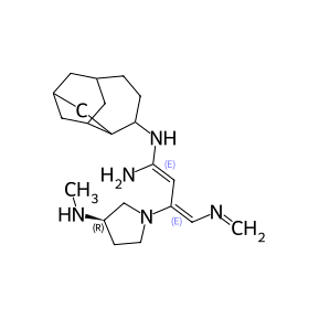 C=N/C=C(\C=C(/N)NC1CCC2CC3CC(C2)C1C3)N1CC[C@@H](NC)C1